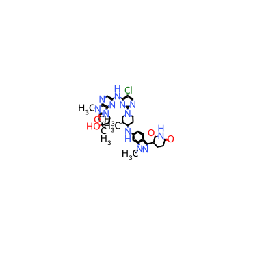 C[C@@H]1CN(c2ncc(Cl)c(Nc3cnc4c(n3)n(CCC(C)(C)O)c(=O)n4C)n2)CC[C@H]1Nc1ccc2c(C3CCC(=O)NC3=O)nn(C)c2c1